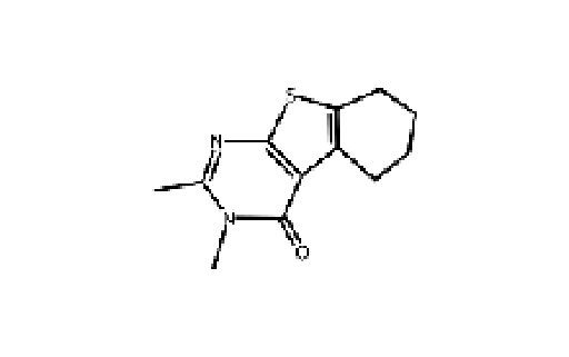 Cc1nc2sc3c(c2c(=O)n1C)CCCC3